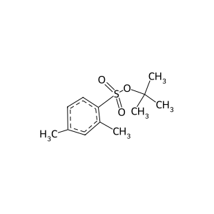 Cc1ccc(S(=O)(=O)OC(C)(C)C)c(C)c1